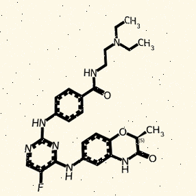 CCN(CC)CCNC(=O)c1ccc(Nc2ncc(F)c(Nc3ccc4c(c3)NC(=O)[C@H](C)O4)n2)cc1